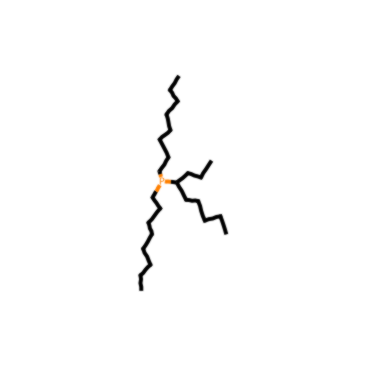 CCCCCCCCP(CCCCCCCC)C(CCC)CCCCC